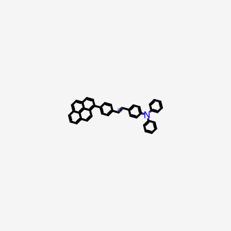 C(=C\c1ccc(N(c2ccccc2)c2ccccc2)cc1)/c1ccc(-c2ccc3ccc4cccc5ccc2c3c45)cc1